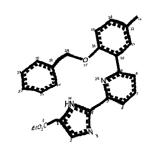 CCOC(=O)c1cnc(-c2cccc(-c3cc(C)ccc3OCc3ccccc3)n2)[nH]1